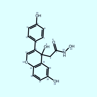 O=C(CC1(O)C(c2ccc(O)cc2)=COc2ccc(O)cc21)NO